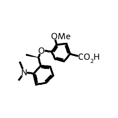 COc1cc(C(=O)O)ccc1O[C@H](C)c1ccccc1N(C)C